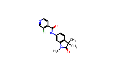 CN1C(=O)C(C)(C)c2ccc(NC(=O)c3ccncc3Cl)cc21